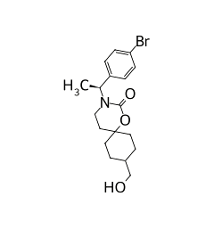 C[C@@H](c1ccc(Br)cc1)N1CCC2(CCC(CO)CC2)OC1=O